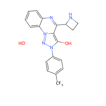 Oc1c2c(C3CCN3)nc3ccccc3[n+]2nn1-c1ccc(C(F)(F)F)cc1.[OH-]